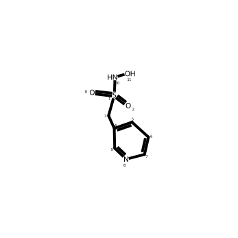 O=S(=O)(Cc1cccnc1)NO